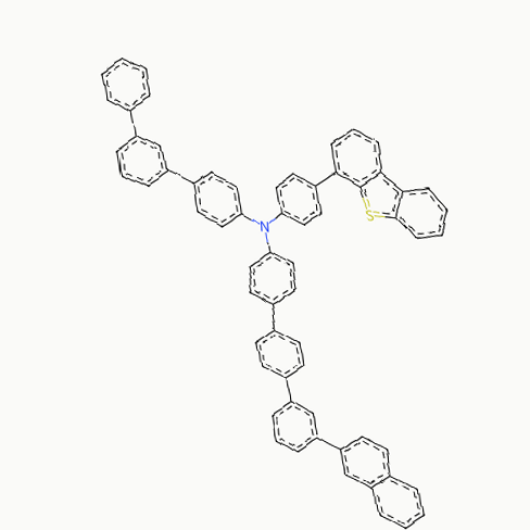 c1ccc(-c2cccc(-c3ccc(N(c4ccc(-c5ccc(-c6cccc(-c7ccc8ccccc8c7)c6)cc5)cc4)c4ccc(-c5cccc6c5sc5ccccc56)cc4)cc3)c2)cc1